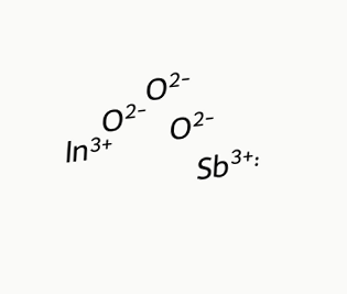 [In+3].[O-2].[O-2].[O-2].[Sb+3]